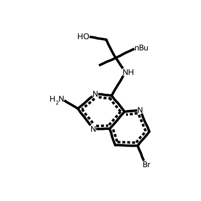 CCCCC(C)(CO)Nc1nc(N)nc2cc(Br)cnc12